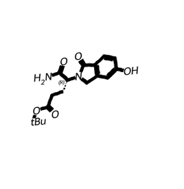 CC(C)(C)OC(=O)CC[C@H](C(N)=O)N1Cc2cc(O)ccc2C1=O